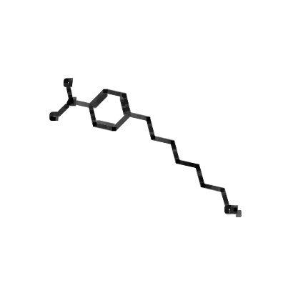 CCCCCCCCc1cc[c]([Al]([Cl])[Cl])cc1